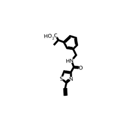 C#Cc1nc(C(=O)NCc2cccc(C(C)C(=O)O)c2)cs1